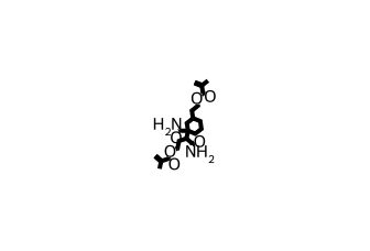 C=C(C)C(=O)OCCC1CCCC(C(N)=O)(C(CCOC(=O)C(=C)C)C(N)=O)C1